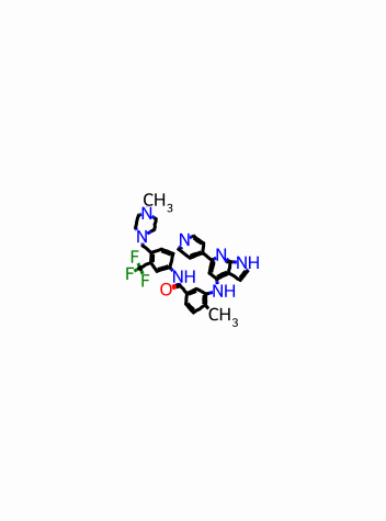 Cc1ccc(C(=O)Nc2ccc(CN3CCN(C)CC3)c(C(F)(F)F)c2)cc1Nc1cc(-c2ccncc2)nc2[nH]ccc12